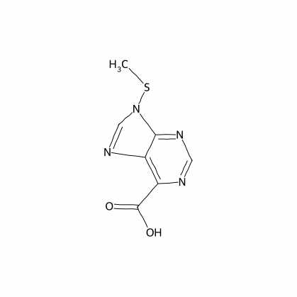 CSn1cnc2c(C(=O)O)ncnc21